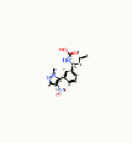 C=CC[C@H](NC(=O)O)c1cccc(-c2c([N+](=O)[O-])cnn2C)c1